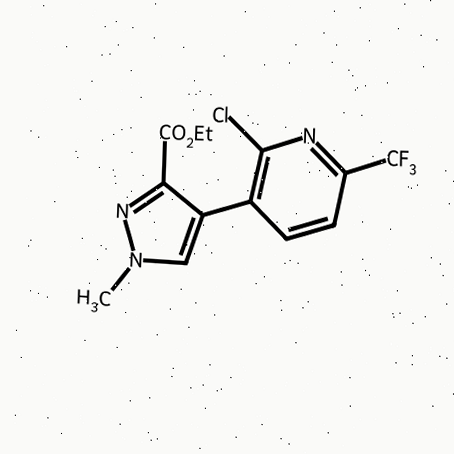 CCOC(=O)c1nn(C)cc1-c1ccc(C(F)(F)F)nc1Cl